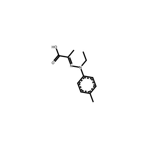 CCN(N=C(C)C(=O)O)c1ccc(C)cc1